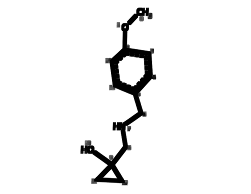 COc1ccc(CNCC2(O)CC2)cc1